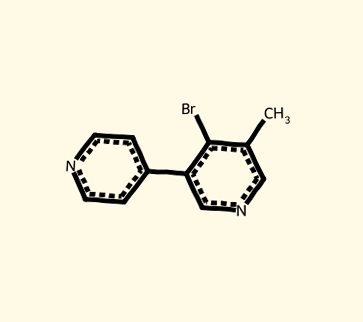 Cc1cncc(-c2ccncc2)c1Br